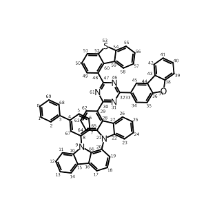 c1ccc(-c2cccc(-n3c4ccccc4c4cccc(-n5c6ccccc6c6c(-c7nc(-c8ccc9oc%10ccccc%10c9c8)nc(-c8cccc9sc%10ccccc%10c89)n7)cccc65)c43)c2)cc1